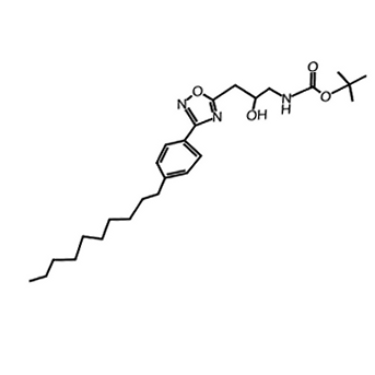 CCCCCCCCCCc1ccc(-c2noc(CC(O)CNC(=O)OC(C)(C)C)n2)cc1